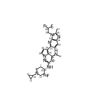 CNc1nc(N[C@H]2CCN(C3CC3)C[C@H]2F)nn2ccc(-c3ccc4nc(C)n(CC(F)F)c4n3)c12